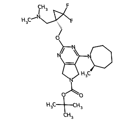 C[C@@H]1CCCCCN1c1nc(OC[C@]2(CN(C)C)CC2(F)F)nc2c1CN(C(=O)OC(C)(C)C)C2